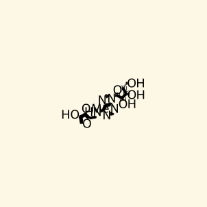 COc1c(O)coc1CNc1ncnc2c1ncn2[C@@H]1O[C@H](CO)[C@@H](O)[C@@H]1O